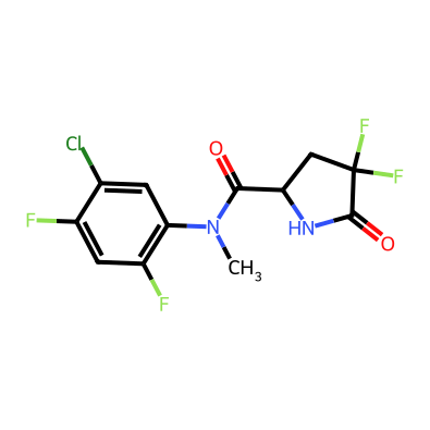 CN(C(=O)C1CC(F)(F)C(=O)N1)c1cc(Cl)c(F)cc1F